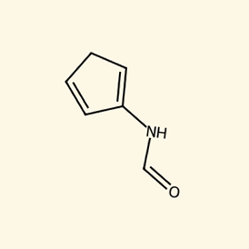 O=CNC1=CCC=C1